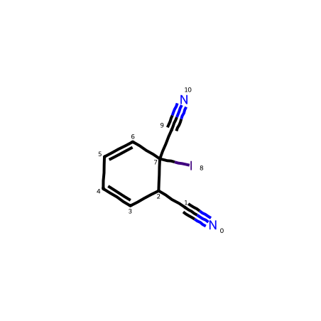 N#CC1C=CC=CC1(I)C#N